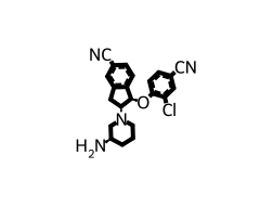 N#Cc1ccc(O[C@@H]2c3ccc(C#N)cc3C[C@H]2N2CCC[C@@H](N)C2)c(Cl)c1